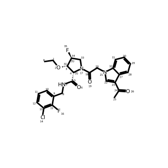 CCO[C@H]1[C@@H](C(=O)NCc2cccc(Cl)c2F)N(C(=O)Cn2cc(C(C)=O)c3ccccc32)C[C@@H]1F